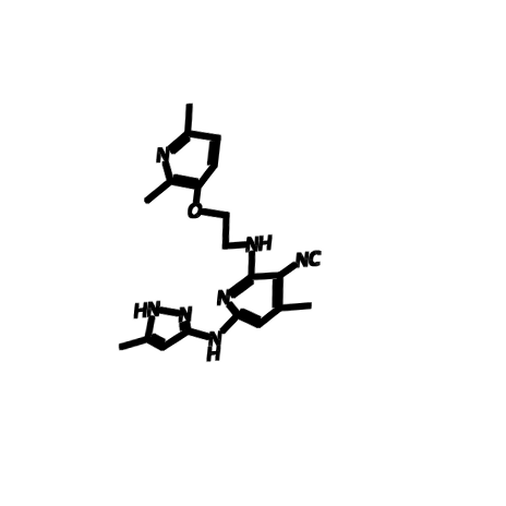 [C-]#[N+]c1c(C)cc(Nc2cc(C)[nH]n2)nc1NCCOc1ccc(C)nc1C